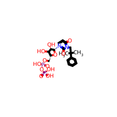 CC(C)(Cn1c(=O)ccn([C@@H]2O[C@H](COP(=O)(O)OP(=O)(O)O)C(O)[C@@H]2O)c1=O)c1ccccc1